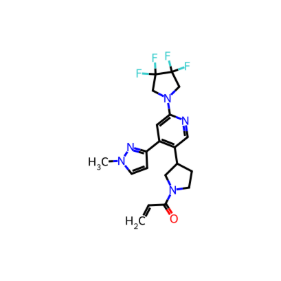 C=CC(=O)N1CCC(c2cnc(N3CC(F)(F)C(F)(F)C3)cc2-c2ccn(C)n2)C1